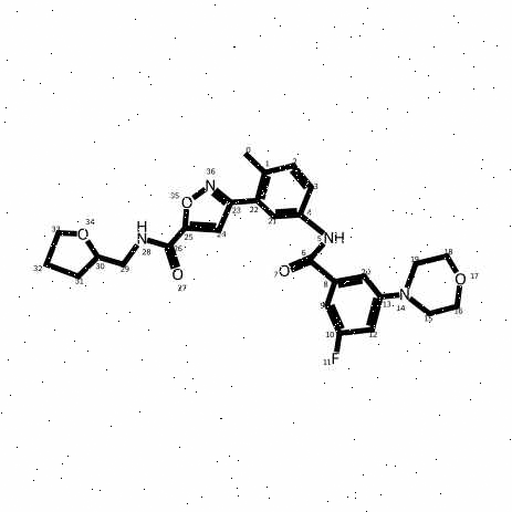 Cc1ccc(NC(=O)c2cc(F)cc(N3CCOCC3)c2)cc1-c1cc(C(=O)NCC2CCCO2)on1